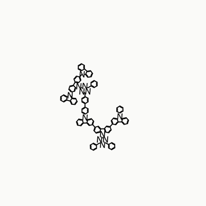 c1ccc(-c2nc(-c3ccccc3)nc(-n3c4ccc(-c5ccc6c(c5)c5ccccc5n6-c5ccccc5)cc4c4cc(-c5ccc6c(c5)c5ccccc5n6-c5ccc(-c6ccc(-c7nc(-c8ccccc8)nc(-n8c9cc(-n%10c%11ccccc%11c%11ccccc%11%10)ccc9c9ccc(-n%10c%11ccccc%11c%11ccccc%11%10)cc98)n7)cc6)cc5)ccc43)n2)cc1